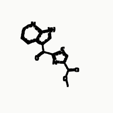 COC(=O)c1csc(C(=O)c2c[nH]c3ncccc23)n1